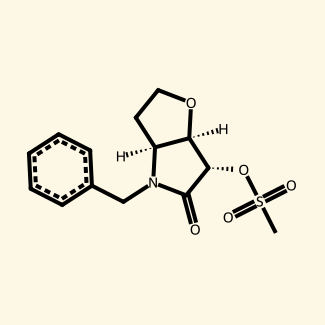 CS(=O)(=O)O[C@@H]1C(=O)N(Cc2ccccc2)[C@H]2CCO[C@@H]12